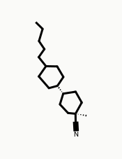 CCCCCC1CCC([C@H]2CC[C@](C)(C#N)CC2)CC1